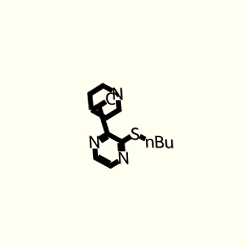 CCCCSc1nccnc1C1CN2CCC1CC2